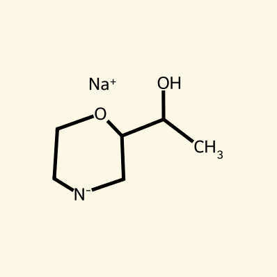 CC(O)C1C[N-]CCO1.[Na+]